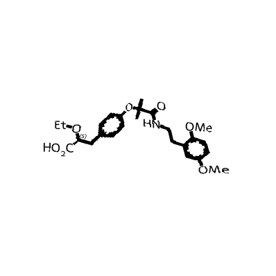 CCO[C@@H](Cc1ccc(OC(C)(C)C(=O)NCCc2cc(OC)ccc2OC)cc1)C(=O)O